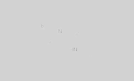 O=C(NC1CC1)c1csc(Br)n1